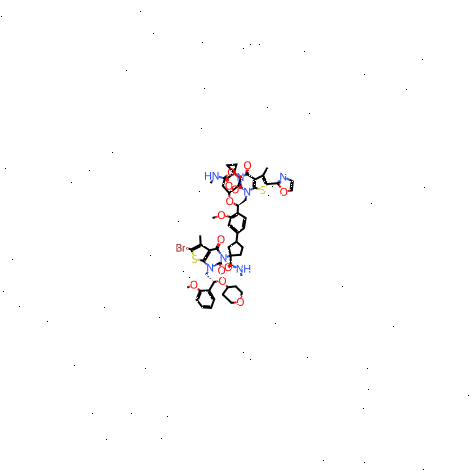 CNC(=O)C1(n2c(=O)c3c(C)c(Br)sc3n(C[C@H](OC3CCOCC3)c3ccccc3OC)c2=O)CCC(c2ccc([C@H](Cn3c(=O)n(C4(C(=O)NC)CC4)c(=O)c4c(C)c(-c5ncco5)sc43)OC3CCOCC3)c(OC)c2)C1